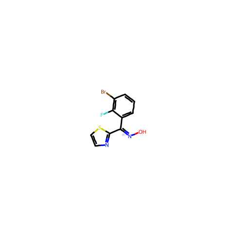 O/N=C(/c1nccs1)c1cccc(Br)c1F